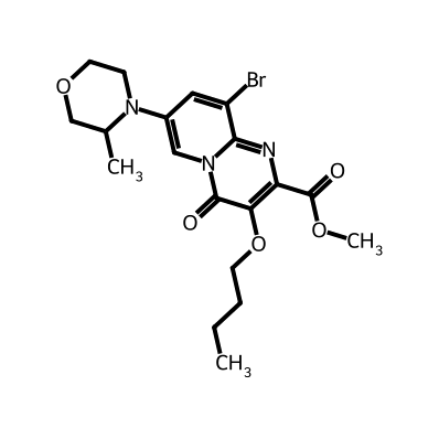 CCCCOc1c(C(=O)OC)nc2c(Br)cc(N3CCOCC3C)cn2c1=O